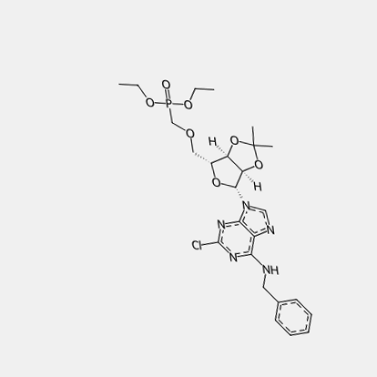 CCOP(=O)(COC[C@H]1O[C@@H](n2cnc3c(NCc4ccccc4)nc(Cl)nc32)[C@@H]2OC(C)(C)O[C@@H]21)OCC